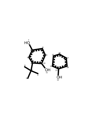 CC(C)(C)c1cc(O)ccc1O.Oc1ccccc1